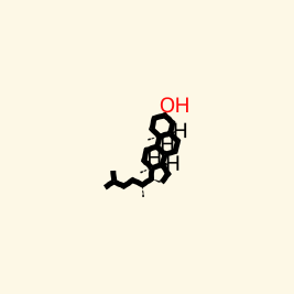 CC(C)CC[C@@H](C)[C@H]1CC[C@H]2[C@@H]3CC[C@@H]4C[C@H](O)CC[C@]4(C)[C@H]3CC[C@]12C